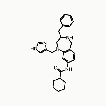 O=C(Nc1ccc2c(c1)N(Cc1c[nH]cn1)CC(Cc1ccccc1)NC2)C1CCCCC1